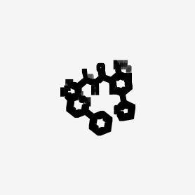 C[C@@H](NC(=O)c1nc(-c2cccs2)cnc1N)c1nnc2ccc(-c3ccccc3)nn12